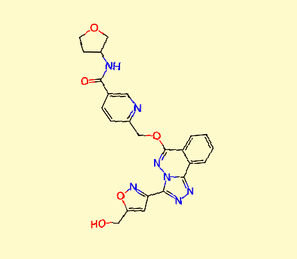 O=C(NC1CCOC1)c1ccc(COc2nn3c(-c4cc(CO)on4)nnc3c3ccccc23)nc1